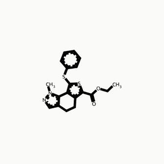 CCOC(=O)c1sc(Sc2ccccc2)c2c1CCc1cnn(C)c1-2